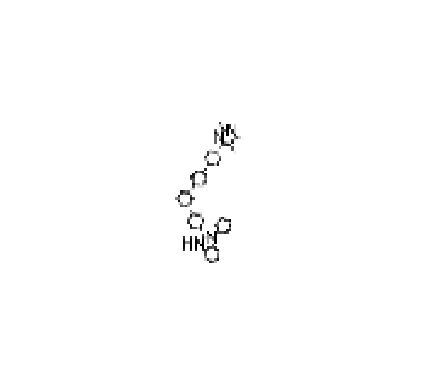 Cc1nc(C)c(C)c(-c2ccc(-c3ccc(-c4cccc(-c5ccc(C6Nc7ccccc7N6c6ccccc6)cc5)c4)cc3)cc2)n1